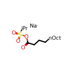 CCCCCCCCCCCC(=O)OS(=O)(=O)C(C)C.[Na]